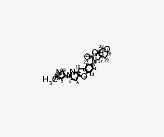 Cn1cc(-n2ccc(=O)c(Cc3cccc(N(CC4CCOCC4)C(=O)O)c3)n2)cn1